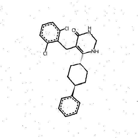 O=C1NCNC([C@H]2CC[C@H](c3ccccc3)CC2)=C1Cc1c(Cl)cccc1Cl